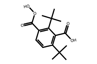 CC(C)(C)c1ccc(C(=O)OO)c(C(C)(C)C)c1C(=O)O